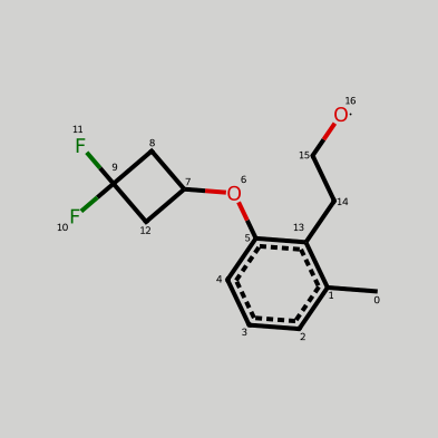 Cc1cccc(OC2CC(F)(F)C2)c1CC[O]